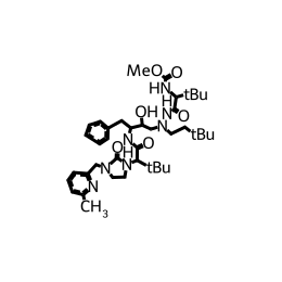 COC(=O)NC(C(=O)NN(CCC(C)(C)C)CC(O)C(Cc1ccccc1)NC(=O)C(N1CCN(Cc2cccc(C)n2)C1=O)C(C)(C)C)C(C)(C)C